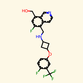 OCc1cc(F)c(CNC2CC(Oc3ccc(F)c(C(F)(F)F)c3)C2)c2ccncc12